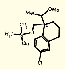 COC(OC)[C@]1(CO[Si](C)(C)C(C)(C)C)CCCc2cc(Cl)ccc21